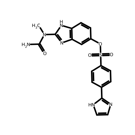 CN(C(N)=O)c1nc2cc(OS(=O)(=O)c3ccc(-c4ncc[nH]4)cc3)ccc2[nH]1